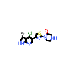 CCc1c[nH]c2ncc(-c3csc(N4CCNCC4=O)n3)c(Cl)c12